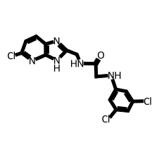 O=C(CNc1cc(Cl)cc(Cl)c1)NCc1nc2ccc(Cl)nc2[nH]1